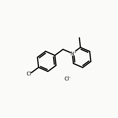 Cc1cccc[n+]1Cc1ccc(Cl)cc1.[Cl-]